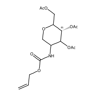 C=CCOC(=O)NC1COC(COC(C)=O)[C@H](OC(C)=O)C1OC(C)=O